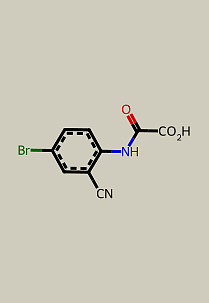 N#Cc1cc(Br)ccc1NC(=O)C(=O)O